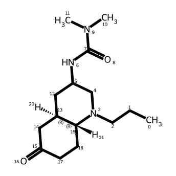 CCCN1CC(NC(=O)N(C)C)C[C@@H]2CC(=O)CC[C@H]21